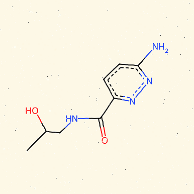 CC(O)CNC(=O)c1ccc(N)nn1